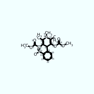 COC(=O)OC1=C(C)N(C)C(C)=C(OC(=O)OC)C1c1ccccc1[N+](=O)[O-]